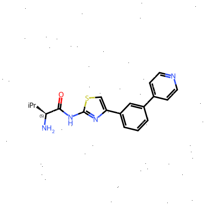 CC(C)[C@H](N)C(=O)Nc1nc(-c2cccc(-c3ccncc3)c2)cs1